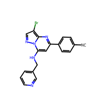 [C-]#[N+]c1ccc(-c2cc(NCc3cccnc3)n3ncc(Br)c3n2)cc1